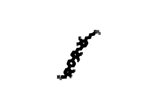 CCCCCc1ccc(CCc2ccc(C3CCC(c4ccc(CC)c(F)c4F)CC3)c(F)c2F)c(F)c1F